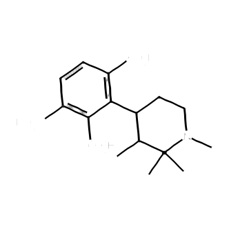 CC1C(c2c(C(=O)O)ccc(C(=O)O)c2C(=O)O)CCN(C)C1(C)C